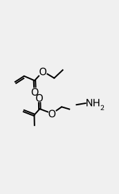 C=C(C)C(=O)OCC.C=CC(=O)OCC.CN